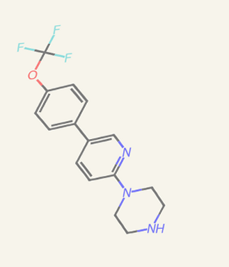 FC(F)(F)Oc1ccc(-c2ccc(N3CCNCC3)nc2)cc1